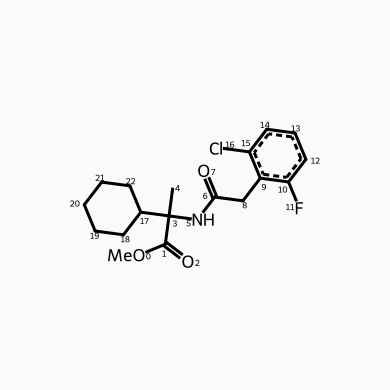 COC(=O)C(C)(NC(=O)Cc1c(F)cccc1Cl)C1CCCCC1